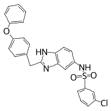 O=S(=O)(Nc1ccc2[nH]c(Cc3ccc(Oc4ccccc4)cc3)nc2c1)c1cccc(Cl)c1